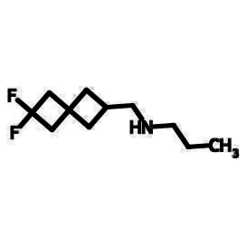 CCCNCC1CC2(C1)CC(F)(F)C2